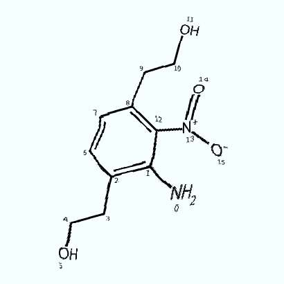 Nc1c(CCO)ccc(CCO)c1[N+](=O)[O-]